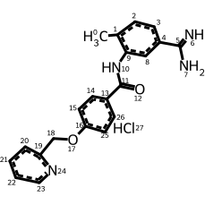 Cc1ccc(C(=N)N)cc1NC(=O)c1ccc(OCc2ccccn2)cc1.Cl